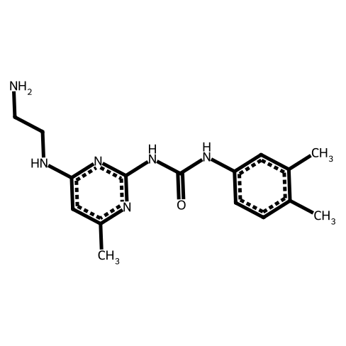 Cc1cc(NCCN)nc(NC(=O)Nc2ccc(C)c(C)c2)n1